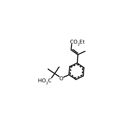 CCOC(=O)C=C(C)c1cccc(OC(C)(C)C(=O)O)c1